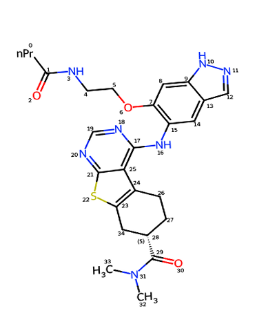 CCCC(=O)NCCOc1cc2[nH]ncc2cc1Nc1ncnc2sc3c(c12)CC[C@H](C(=O)N(C)C)C3